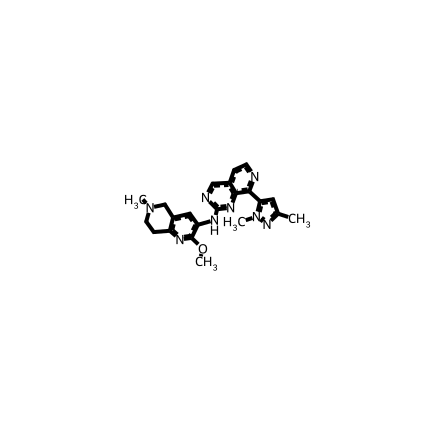 COc1nc2c(cc1Nc1ncc3ccnc(-c4cc(C)nn4C)c3n1)CN(C)CC2